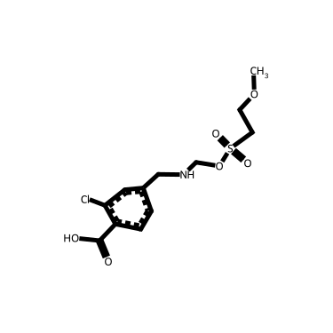 COCCS(=O)(=O)OCNCc1ccc(C(=O)O)c(Cl)c1